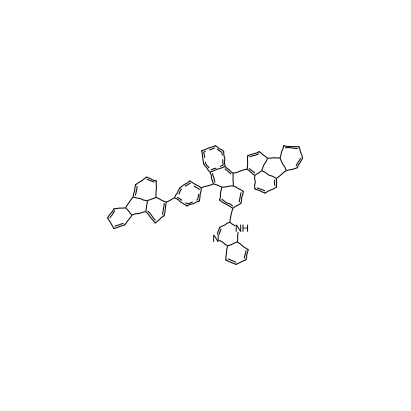 C1=CC2=C(C3=c4ccccc4=C(c4ccc(C5=CC=C6C7C=CC=CC7C7=CC=CC5C76)cc4)C4C=C(C5C=NC6C=CC=CC6N5)C=CC34)C=CC3C2C(=C1)C1C=CC=CC13